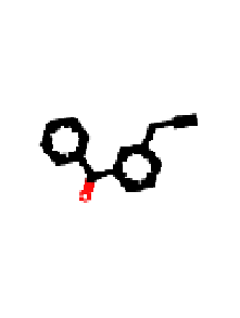 C#CCc1cccc(C(=O)c2ccccc2)c1